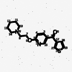 O=C(c1ccc(OCCN2CCCCC2)nc1)c1ccsc1